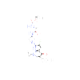 CC(NC(=O)OC(C)(C)C)C(=O)NC1CCN(c2nc3c(cc2F)c(=O)c(C(=O)O)cn3C2CC2)C1